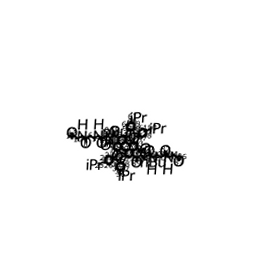 CCCCC(C(=O)NCCC(=O)NCC1CO1)N1C(=O)c2cc(Oc3ccc(C(C)C)cc3)c3c4c(Oc5ccc(C(C)C)cc5)cc5c6c(cc(Oc7ccc(C(C)C)cc7)c(c7c(Oc8ccc(C(C)C)cc8)cc(c2c37)C1=O)c64)C(=O)N(C(CCCC)C(=O)NCCC(=O)NCC1CO1)C5=O